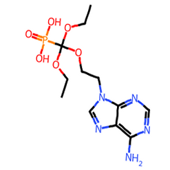 CCOC(OCC)(OCCn1cnc2c(N)ncnc21)P(=O)(O)O